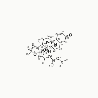 CC(C)OC(=O)OC(C)OC(=O)[C@@]12OC(C)(C)O[C@@H]1C[C@H]1[C@@H]3CCC4=CC(=O)C=C[C@]4(C)[C@@]3(F)CC[C@@]12C